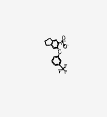 O=[N+]([O-])c1cc2c(cc1Oc1cccc(C(F)(F)F)c1)CCC2